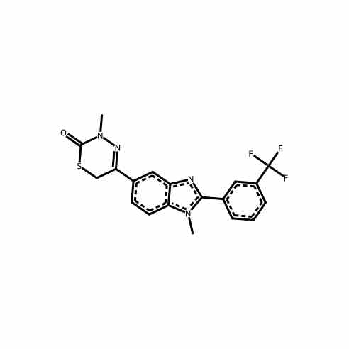 CN1N=C(c2ccc3c(c2)nc(-c2cccc(C(F)(F)F)c2)n3C)CSC1=O